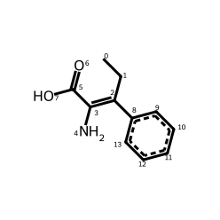 CCC(=C(N)C(=O)O)c1ccccc1